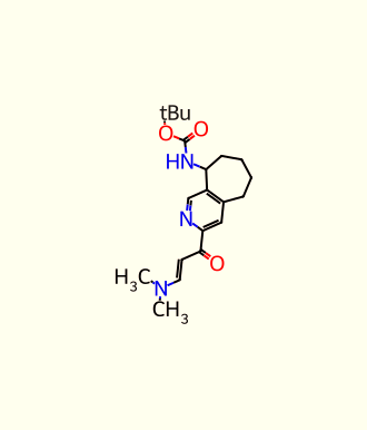 CN(C)/C=C/C(=O)c1cc2c(cn1)C(NC(=O)OC(C)(C)C)CCCC2